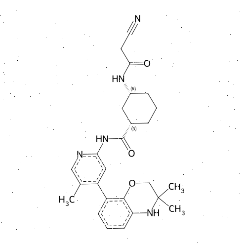 Cc1cnc(NC(=O)[C@H]2CCC[C@@H](NC(=O)CC#N)C2)cc1-c1cccc2c1OCC(C)(C)N2